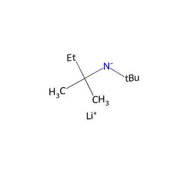 CCC(C)(C)[N-]C(C)(C)C.[Li+]